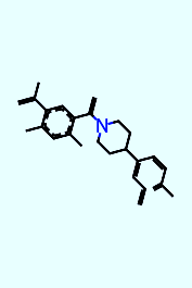 C=C/C=C(\C=C/C(=C)C)C1CCN(C(=C)c2cc(C(=C)C)c(C)cc2C)CC1